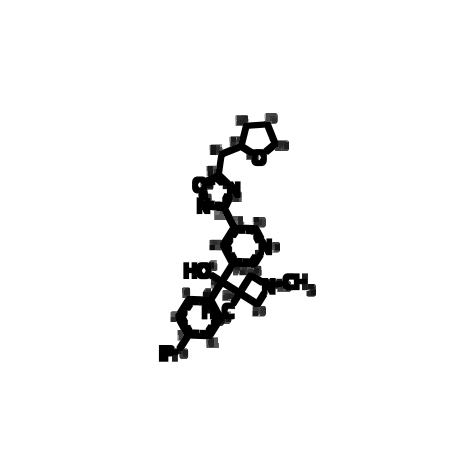 CC(C)c1ccc(C(O)(c2cncc(-c3noc(CC4CCCO4)n3)c2)C2(C)CN(C)C2)cc1